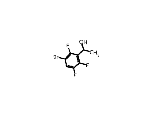 CC(O)c1c(F)c(F)cc(Br)c1F